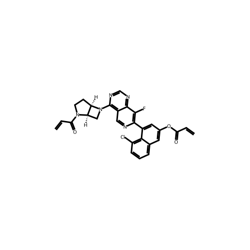 C=CC(=O)Oc1cc(-c2ncc3c(N4C[C@@H]5[C@H]4CCN5C(=O)C=C)ncnc3c2F)c2c(Cl)cccc2c1